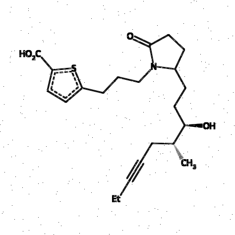 CCC#CC[C@@H](C)[C@H](O)CCC1CCC(=O)N1CCCc1ccc(C(=O)O)s1